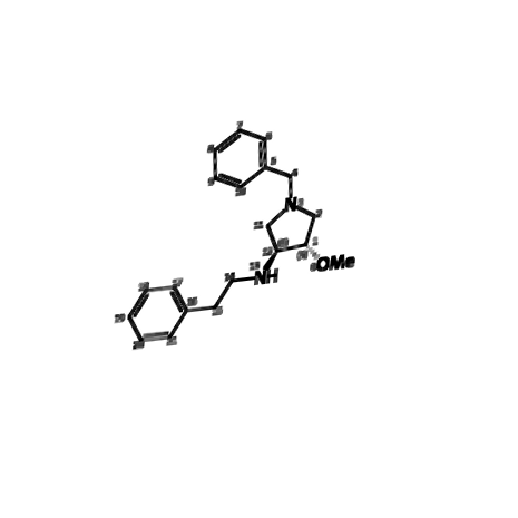 CO[C@H]1CN(Cc2ccccc2)C[C@@H]1NCCc1ccccc1